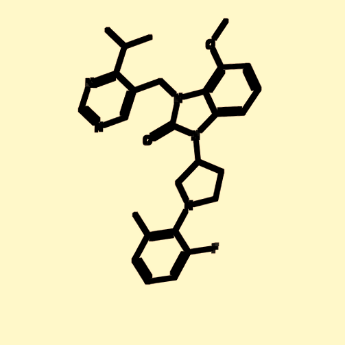 COc1cccc2c1n(Cc1cncnc1C(C)C)c(=O)n2C1CCN(c2c(C)cccc2F)C1